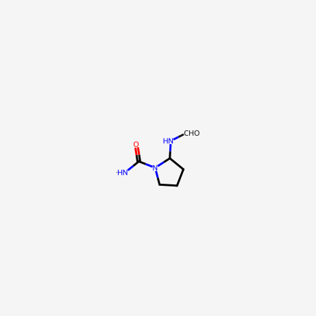 [NH]C(=O)N1CCCC1NC=O